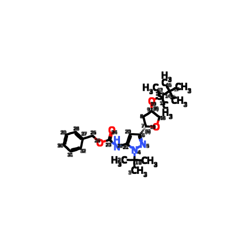 CC(C)(C)n1nc([C@@H]2C[C@@H](O[Si](C)(C)C(C)(C)C)CO2)cc1NC(=O)OCc1ccccc1